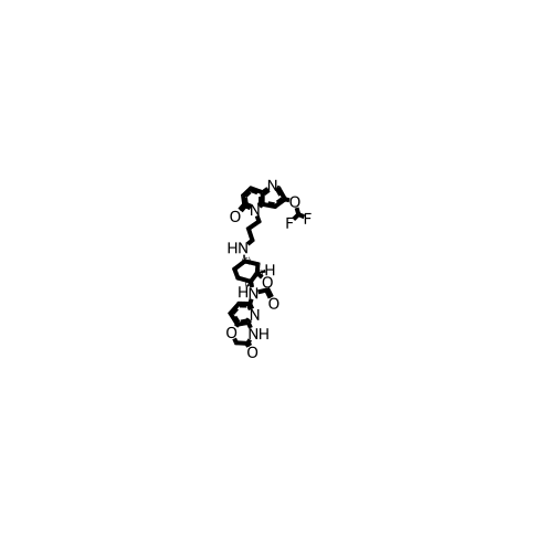 O=C1COc2ccc(N3C(=O)O[C@H]4C[C@@H](NCCCn5c(=O)ccc6ncc(OC(F)F)cc65)CC[C@@H]43)nc2N1